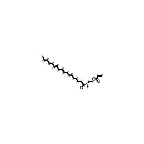 C=CC(=O)OCCN(C)C(=O)CCCCCCC/C=C/C/C=C/CCCCC